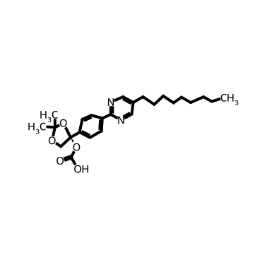 CCCCCCCCCc1cnc(-c2ccc([C@@]3(OC(=O)O)COC(C)(C)O3)cc2)nc1